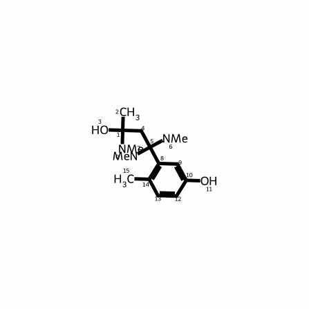 CNC(C)(O)CC(NC)(NC)c1cc(O)ccc1C